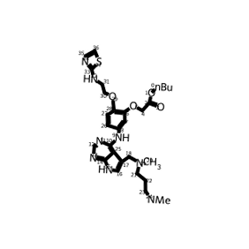 CCCCOC(=O)COc1cc(Nc2ncnc3[nH]cc(CN(C)CCCNC)c23)ccc1OCCNc1nccs1